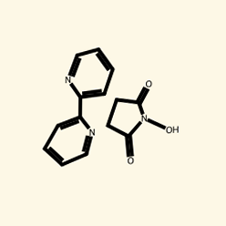 O=C1CCC(=O)N1O.c1ccc(-c2ccccn2)nc1